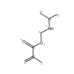 C=C(C)C(=O)OCNC(C)C